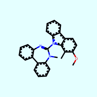 COc1ccc2c3ccccc3n(C3=Nc4ccccc4-c4ccccc4N3C)c2c1C